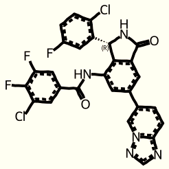 O=C(Nc1cc(-c2ccc3ncnn3c2)cc2c1[C@H](c1cc(F)ccc1Cl)NC2=O)c1cc(F)c(F)c(Cl)c1